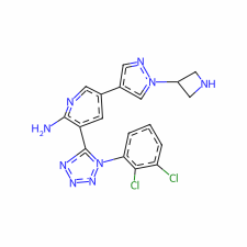 Nc1ncc(-c2cnn(C3CNC3)c2)cc1-c1nnnn1-c1cccc(Cl)c1Cl